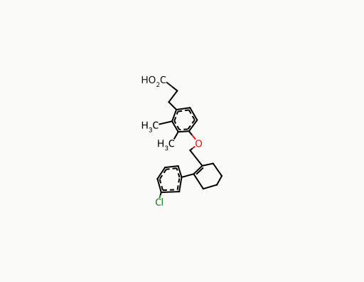 Cc1c(CCC(=O)O)ccc(OCC2=C(c3cccc(Cl)c3)CCCC2)c1C